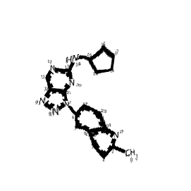 Cc1ccc2cc(-n3nnc4cnc(NC5CCCC5)nc43)ccc2n1